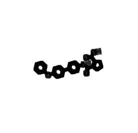 O=C(O)C1=C(C(=O)Nc2ccc(-c3ccc(Oc4ccccc4)cc3)cc2)CCC1